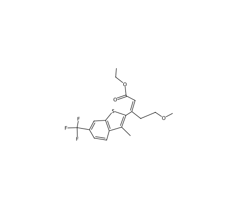 CCOC(=O)/C=C(/CCOC)c1sc2cc(C(F)(F)F)ccc2c1C